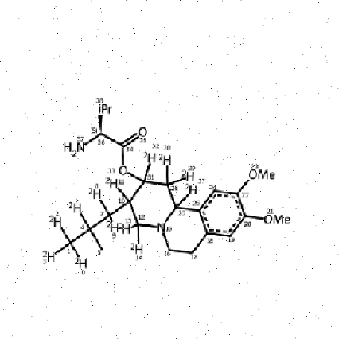 [2H]C([2H])([2H])C([2H])(C)C([2H])([2H])C1([2H])C([2H])([2H])N2CCc3cc(OC)c(OC)cc3C2([2H])C([2H])([2H])C1([2H])OC(=O)[C@@H](N)C(C)C